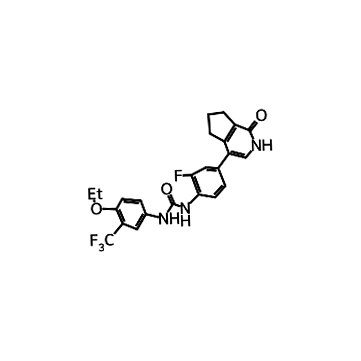 CCOc1ccc(NC(=O)Nc2ccc(-c3c[nH]c(=O)c4c3CCC4)cc2F)cc1C(F)(F)F